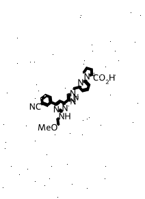 COCCNc1nc(-c2cccc(C#N)c2)cc(-c2cn(Cc3cccc(N4CCC[C@@H]4C(=O)O)n3)nn2)n1